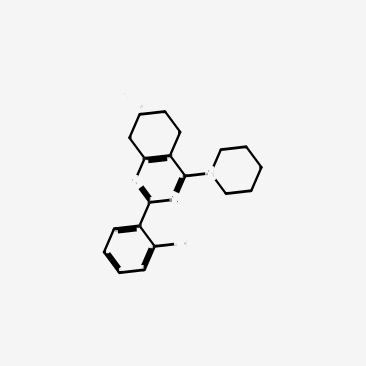 C[C@@H]1CCc2c(nc(-c3ccccc3O)nc2N2CCCCC2)C1